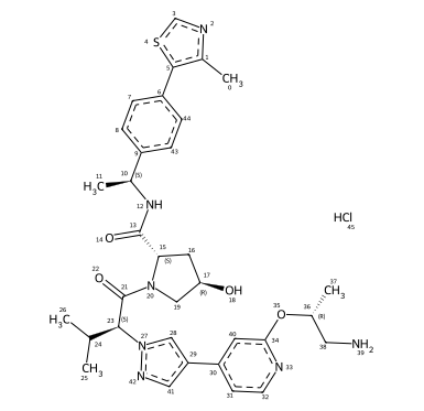 Cc1ncsc1-c1ccc([C@H](C)NC(=O)[C@@H]2C[C@@H](O)CN2C(=O)[C@H](C(C)C)n2cc(-c3ccnc(O[C@H](C)CN)c3)cn2)cc1.Cl